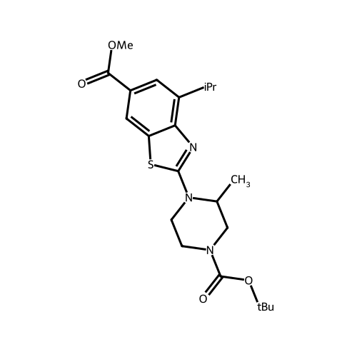 COC(=O)c1cc(C(C)C)c2nc(N3CCN(C(=O)OC(C)(C)C)CC3C)sc2c1